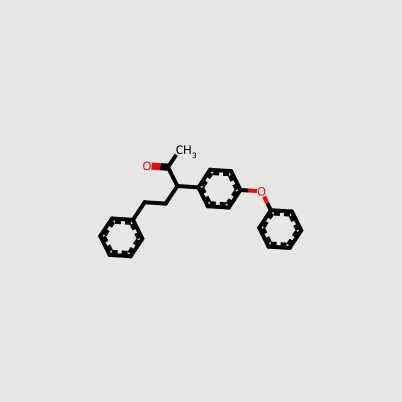 CC(=O)C(CCc1ccccc1)c1ccc(Oc2ccccc2)cc1